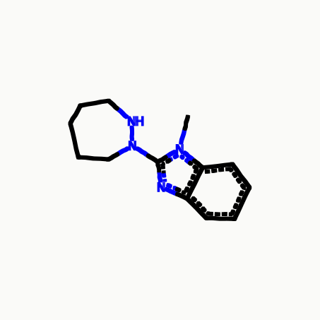 Cn1c(N2CCCCCN2)nc2ccccc21